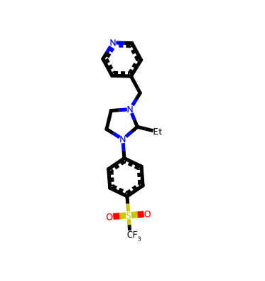 CCC1N(Cc2ccncc2)CCN1c1ccc(S(=O)(=O)C(F)(F)F)cc1